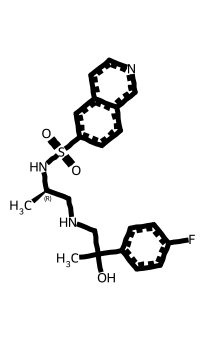 C[C@H](CNCC(C)(O)c1ccc(F)cc1)NS(=O)(=O)c1ccc2cnccc2c1